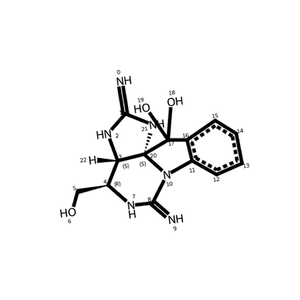 N=C1N[C@H]2[C@H](CO)NC(=N)N3c4ccccc4C(O)(O)[C@]23N1